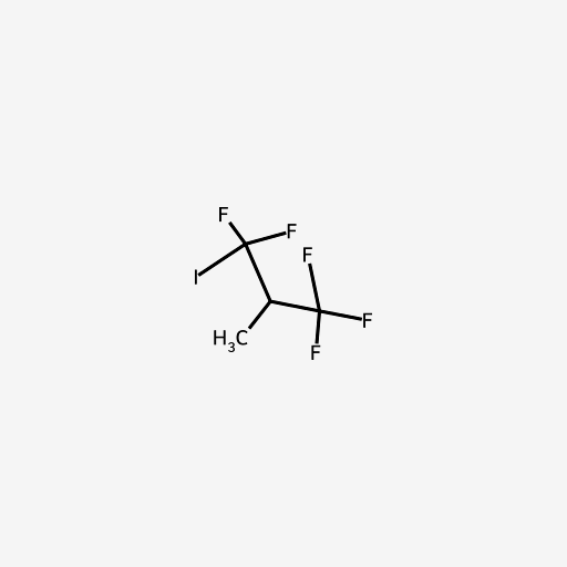 CC(C(F)(F)F)C(F)(F)I